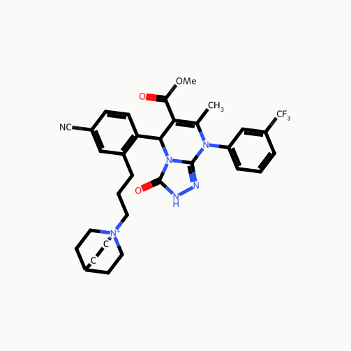 COC(=O)C1=C(C)N(c2cccc(C(F)(F)F)c2)c2n[nH]c(=O)n2C1c1ccc(C#N)cc1CCC[N+]12CCC(CC1)CC2